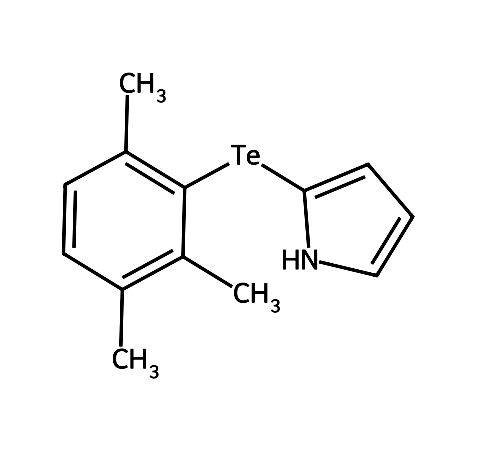 Cc1ccc(C)c([Te]c2ccc[nH]2)c1C